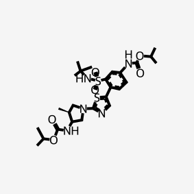 CC(C)OC(=O)Nc1ccc(-c2cnc(N3CC(NC(=O)OC(C)C)[C@@H](C)C3)s2)c(S(=O)(=O)NC(C)(C)C)c1